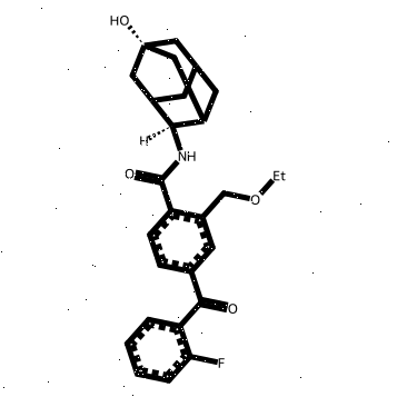 CCOCc1cc(C(=O)c2ccccc2F)ccc1C(=O)N[C@H]1C2CC3CC1C[C@](O)(C3)C2